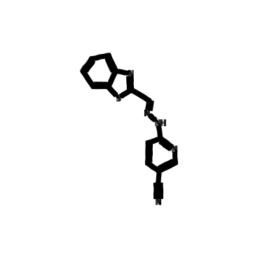 N#Cc1ccc(NN=Cc2nc3ccccc3s2)nc1